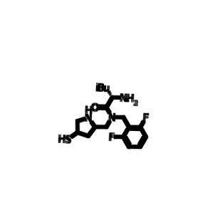 CCC(C)[C@H](N)C(=O)N(Cc1c(F)cccc1F)CC1CC(S)CN1